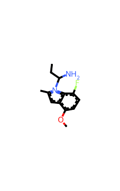 CCC(N)n1c(C)cc2c(OC)ccc(F)c21